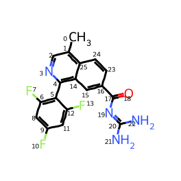 Cc1cnc(-c2c(F)cc(F)cc2F)c2cc(C(=O)N=C(N)N)ccc12